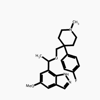 COc1cc(C(C)OCC2(c3ccc(F)cc3)CCN(C)CC2)c2[nH]ncc2c1